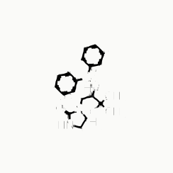 CC(C)(C)C(CN1CCNC1=O)O[SiH](c1ccccc1)c1ccccc1